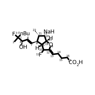 CCCCC(C)(F)[C@H](O)/C=C/[C@@H]1[C@H]2C(F)/C(=C/CCCC(=O)O)O[C@H]2C[C@H]1C.[NaH]